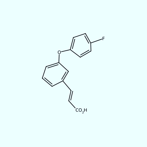 O=C(O)/C=C/c1cccc(Oc2ccc(F)cc2)c1